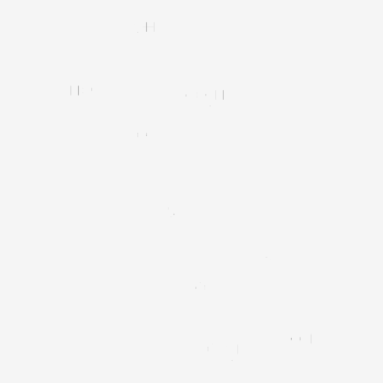 O=C(O)C(COc1cccc(Sc2cccc(OCC(C(=O)O)c3cc(O)cc(O)c3)c2)c1)c1cc(O)cc(O)c1